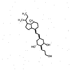 CC[C@H](C)C1CCC2/C(=C/C=C3C[C@@H](O)C(=CCCO)[C@H](O)C3)CCC[C@@]21C